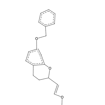 CO/C=C/C1CCc2ccc(OCc3ccccc3)cc2O1